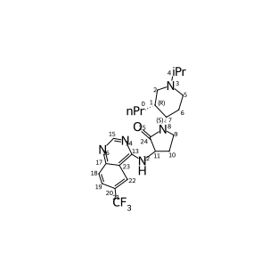 CCC[C@@H]1CN(C(C)C)CC[C@@H]1N1CCC(Nc2ncnc3ccc(C(F)(F)F)cc23)C1=O